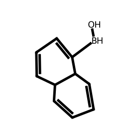 OBC1=CC=CC2C=CC=CC12